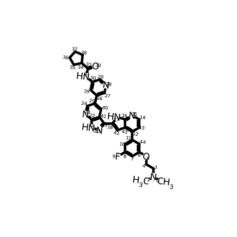 CN(C)CCOc1cc(F)cc(-c2ccnc3[nH]c(-c4n[nH]c5ncc(-c6cncc(NC(=O)C7CCCC7)c6)cc45)cc23)c1